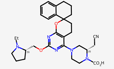 CCN1CCC[C@H]1COc1nc2c(c(N3CCN(C(=O)O)[C@@H](CC#N)C3)n1)CCC1(CCCc3ccccc31)O2